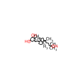 C[C@@H](CCCC(C)(C)O)C1CCC2/C(=C/C=C3/C[C@@H](O)C[C@H](O)C3(C)C)CCC[C@@]21C